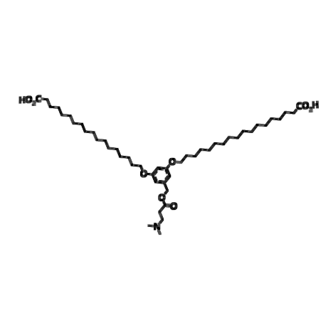 CN(C)CCC(=O)OCc1cc(OCCCCCCCCCCCCCCCCCC(=O)O)cc(OCCCCCCCCCCCCCCCCCC(=O)O)c1